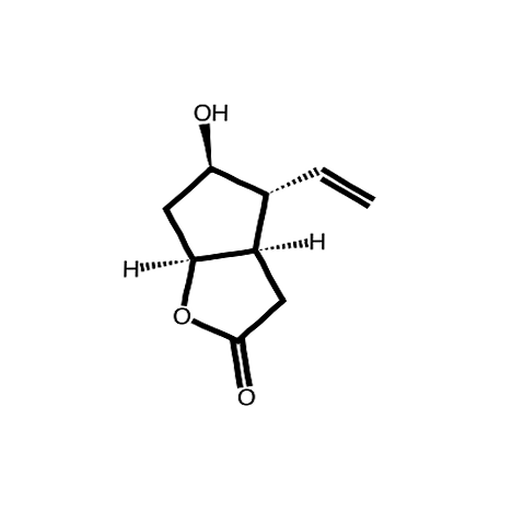 C=C[C@@H]1[C@H]2CC(=O)O[C@H]2C[C@H]1O